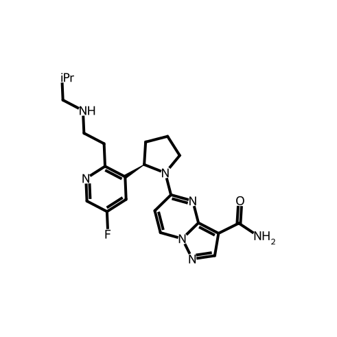 CC(C)CNCCc1ncc(F)cc1[C@H]1CCCN1c1ccn2ncc(C(N)=O)c2n1